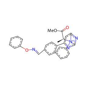 COC(=O)[C@H](C)[N+]1(c2ccccc2)c2cc(-c3ccc(/C=N/Oc4ccccc4)cc3)nc1n2